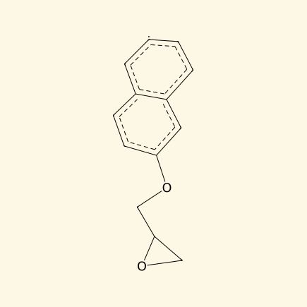 [c]1ccc2cc(OCC3CO3)ccc2c1